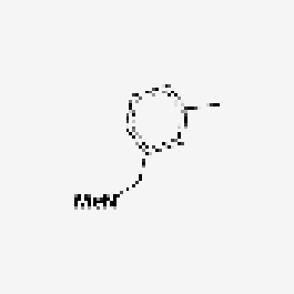 [CH]NCc1cccc(C)c1